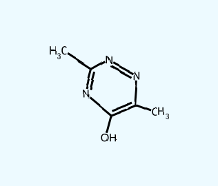 Cc1nnc(C)c(O)n1